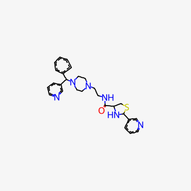 O=C(NCCN1CCN(C(c2ccccc2)c2cccnc2)CC1)C1CSC(c2cccnc2)N1